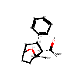 COC(=O)[C@@H]1[C@@H]2CCC(C[C@@H]1c1ccccc1)O2